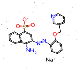 Nc1c(N=Nc2ccccc2OCc2cccnc2)cc(S(=O)(=O)[O-])c2ccccc12.[Na+]